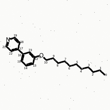 CCCCCCCCCCCOc1cccc(-c2ccncc2)c1